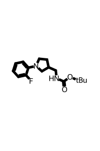 CC(C)(C)OC(=O)NCC1CCN(c2ccccc2F)C1